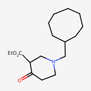 CCOC(=O)C1CN(CC2CCCCCCC2)CCC1=O